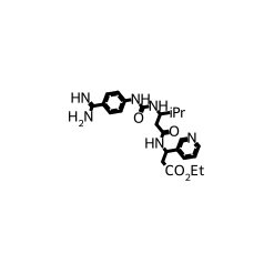 CCOC(=O)CC(NC(=O)CC(NC(=O)Nc1ccc(C(=N)N)cc1)C(C)C)c1cccnc1